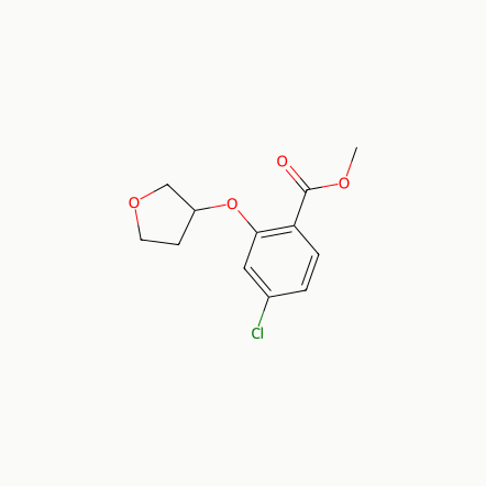 COC(=O)c1ccc(Cl)cc1OC1CCOC1